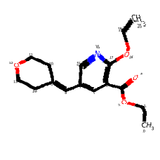 CCOC(=O)c1cc(C=C2CCOCC2)cnc1OCC